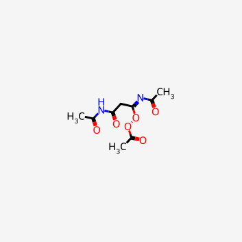 CC(=O)N=C(CC(=O)NC(C)=O)OOC(C)=O